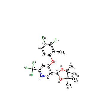 Cc1c(Oc2cc(C(F)(F)F)ncc2B2OC(C)(C)C(C)(C)O2)ccc(F)c1F